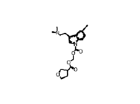 Cc1ccc2c(c1)c(CCN(C)C)cn2C(=O)OCOC(=O)C1CCOC1